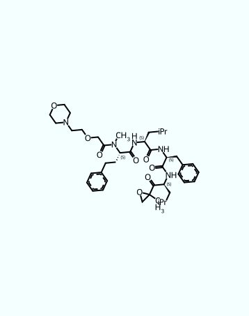 CC(C)C[C@H](NC(=O)[C@H](CCc1ccccc1)N(C)C(=O)COCCN1CCOCC1)C(=O)N[C@@H](Cc1ccccc1)C(=O)N[C@@H](CC(C)C)C(=O)C1(C)CO1